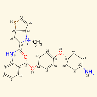 Cn1c(C(=O)Nc2ccccc2COC2C=CC(O[C@H]3CC[C@@H](N)CC3)=CC2)cc2sccc21